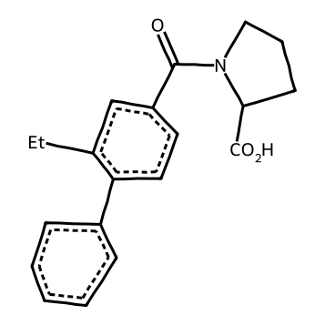 CCc1cc(C(=O)N2CCCC2C(=O)O)ccc1-c1ccccc1